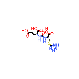 O=C(O)CC[C@H](NC(=O)N[C@@H](CSc1nnn[nH]1)C(=O)O)C(=O)O